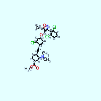 COC(=O)c1ccc(C#Cc2ccc(OCc3c(-c4c(Cl)cccc4Cl)noc3C3CC3)cc2Cl)c(N(C)C)c1